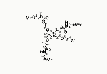 COCCNC(=O)OCCOCC(COCCOCCCC(C)=O)(COCCOC(=O)NCCOC)COCCOC(=O)NCCOC